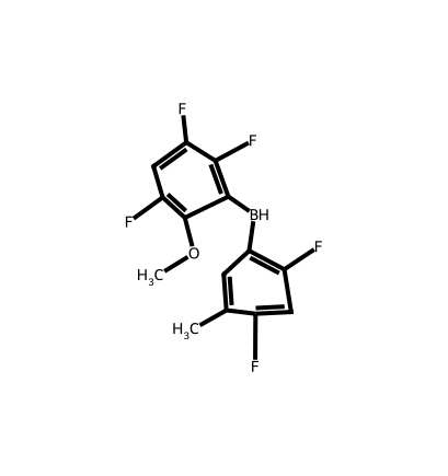 COc1c(F)cc(F)c(F)c1Bc1cc(C)c(F)cc1F